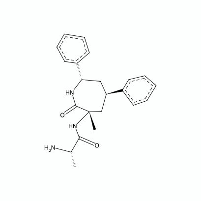 C[C@H](N)C(=O)N[C@@]1(C)C[C@H](c2ccccc2)C[C@@H](c2ccccc2)NC1=O